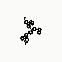 CC1CC2CC(C1)C1(c3ccccc3-c3ccc(-c4ccc5c6cc(-c7cccc8ccccc78)ccc6n(-c6ccc7c(c6)C6(c8cc(F)c(F)cc8-7)C7CC8CC(C7)CC6C8)c5c4)cc31)[C@H](C)C2